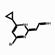 N=C/C=C1/N=C(Br)C=C(C2CC2)N1